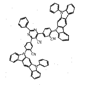 N#Cc1cc(-c2nc(-c3ccccc3)nc(-c3ccc(-n4c5ccccc5c5cc6c7ccccc7n(-c7ccccc7)c6cc54)c(C#N)c3)c2C#N)ccc1-n1c2ccccc2c2cc3c4ccccc4n(-c4ccccc4)c3cc21